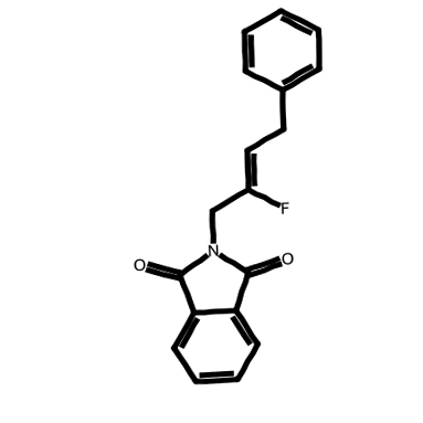 O=C1c2ccccc2C(=O)N1CC(F)=CCc1ccccc1